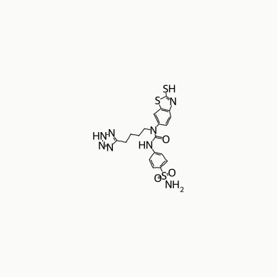 NS(=O)(=O)c1ccc(NC(=O)N(CCCCc2nn[nH]n2)c2ccc3nc(S)sc3c2)cc1